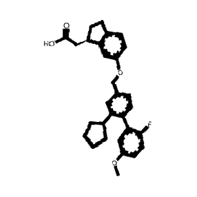 COc1ccc(F)c(-c2ccc(COc3ccc4c(c3)[C@@H](CC(=O)O)CC4)cc2C2CCCC2)c1